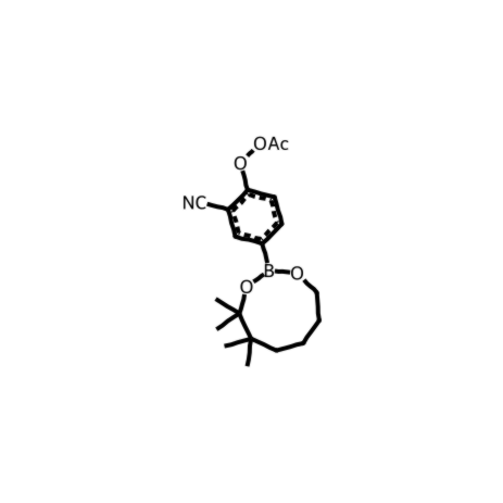 CC(=O)OOc1ccc(B2OCCCCC(C)(C)C(C)(C)O2)cc1C#N